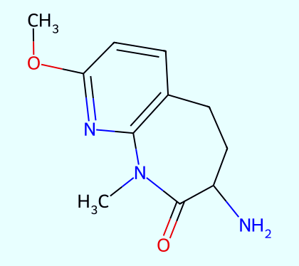 COc1ccc2c(n1)N(C)C(=O)C(N)CC2